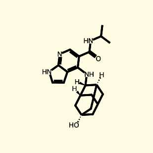 CC(C)NC(=O)c1cnc2[nH]ccc2c1N[C@H]1[C@@H]2CC3C[C@H]1C[C@@](O)(C3)C2